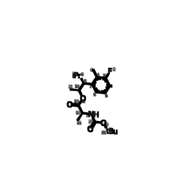 Cc1c(F)cccc1[C@H](C(C)C)[C@H](C)OC(=O)[C@H](C)NC(=O)OC(C)(C)C